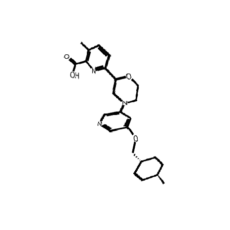 Cc1ccc(C2CN(c3cncc(OC[C@H]4CC[C@H](C)CC4)c3)CCO2)nc1C(=O)O